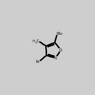 Cc1c(Br)noc1C(C)(C)C